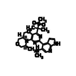 CNc1cnc2[nH]ccc2c1-c1nc2c(c(C(C)(C)S(C)(=O)=O)n1)OC[C@@H]1COC[C@H](C)N21